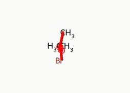 CCCCCCCCCCCCCCCC(C)C1(C)OCC(COC(=O)CCCCCCCCCCBr)O1